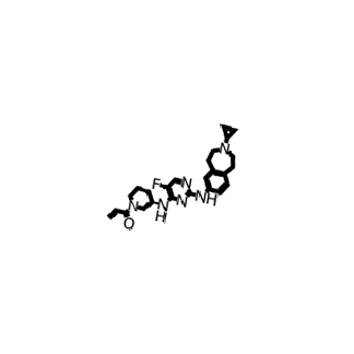 C=CC(=O)N1CCC[C@@H](Nc2nc(Nc3ccc4c(c3)CCN(C3CC3)CC4)ncc2F)C1